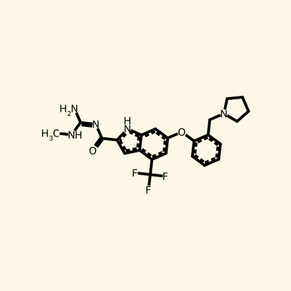 CNC(N)=NC(=O)c1cc2c(C(F)(F)F)cc(Oc3ccccc3CN3CCCC3)cc2[nH]1